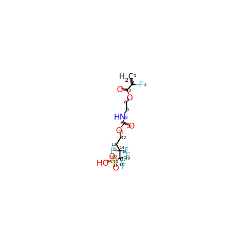 C=C(F)C(=O)OCCNC(=O)OCCC(F)(F)C(F)(F)S(=O)(=O)O